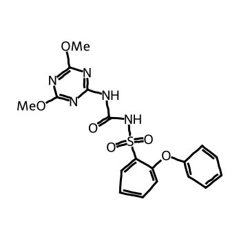 COc1nc(NC(=O)NS(=O)(=O)c2ccccc2Oc2ccccc2)nc(OC)n1